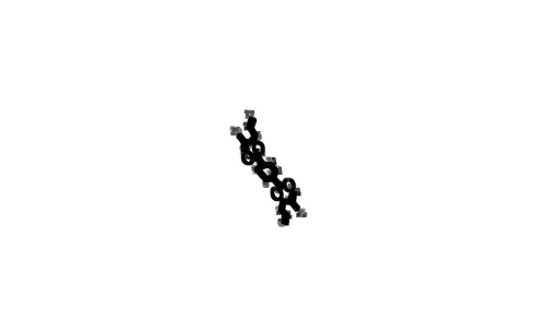 C=CCC(OC(=O)C1CCC(C(=O)OC(CC=C)C(=C)C)CC1)C(=C)C